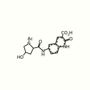 CC(=O)N1CC(O)CC1C(=O)Nc1ccc2[nH]c(=O)c(C(=O)O)cc2c1